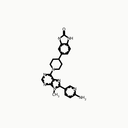 Cn1c(-c2ccc(N)nc2)nc2c(N3CCC(c4ccc5c(c4)[N]C(=O)N5)CC3)ncnc21